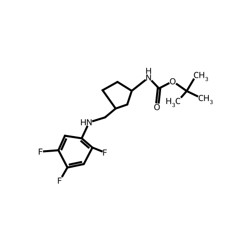 CC(C)(C)OC(=O)NC1CCC(CNc2cc(F)c(F)cc2F)C1